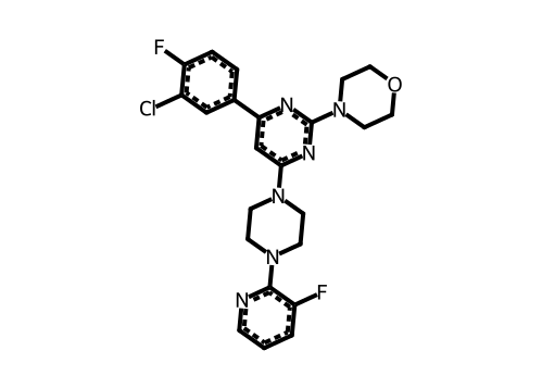 Fc1ccc(-c2cc(N3CCN(c4ncccc4F)CC3)nc(N3CCOCC3)n2)cc1Cl